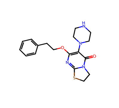 O=c1c(N2CCNCC2)c(OCCc2ccccc2)nc2n1CCS2